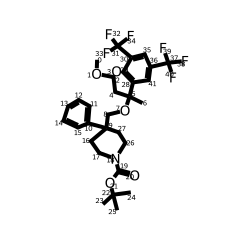 COC(=O)CC(C)(OCC1(c2ccccc2)CCN(C(=O)OC(C)(C)C)CC1)c1cc(C(F)(F)F)cc(C(F)(F)F)c1